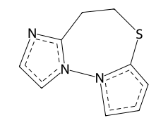 c1cc2n(c1)-n1ccnc1CCS2